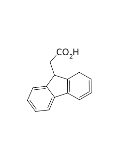 O=C(O)CC1C2=C(C=C=CC2)c2ccccc21